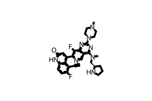 C#Cc1c(F)ccc2[nH]c(=O)cc(-c3ncc4c(N(C)C[C@H]5CCCN5)nc(N5CCN(C)CC5)nc4c3F)c12